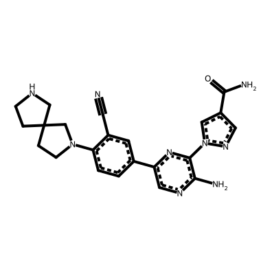 N#Cc1cc(-c2cnc(N)c(-n3cc(C(N)=O)cn3)n2)ccc1N1CCC2(CCNC2)C1